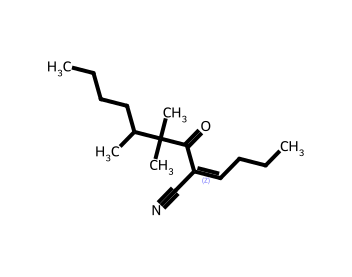 CCC/C=C(/C#N)C(=O)C(C)(C)C(C)CCCC